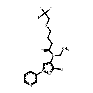 CCN(C(=O)CCCSCC(F)(F)F)c1cn(-c2cccnc2)nc1Cl